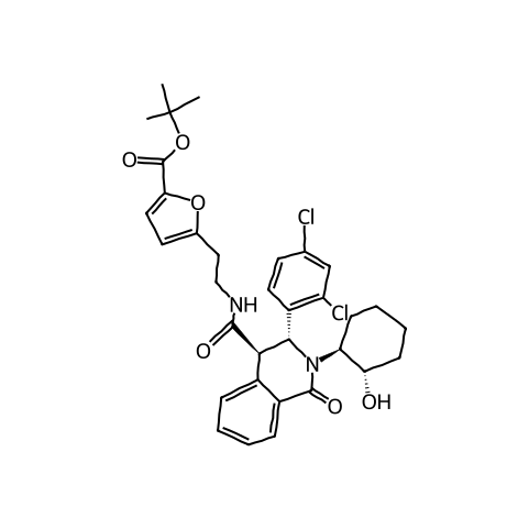 CC(C)(C)OC(=O)c1ccc(CCNC(=O)[C@@H]2c3ccccc3C(=O)N([C@H]3CCCC[C@@H]3O)[C@H]2c2ccc(Cl)cc2Cl)o1